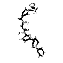 CS(=O)(=O)n1ccc(C(=O)NCC(=O)Nc2nc(-c3ccn(-c4ccncc4)n3)cs2)c1